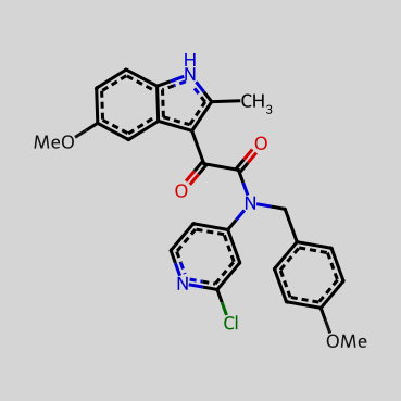 COc1ccc(CN(C(=O)C(=O)c2c(C)[nH]c3ccc(OC)cc23)c2ccnc(Cl)c2)cc1